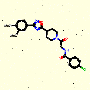 COc1ccc(-c2noc(C3CCN(C(=O)CNC(=O)c4ccc(Cl)cc4)CC3)n2)cc1OC